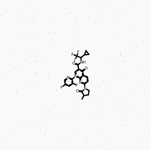 CC1CCN(c2ccc3c(=O)c(C(=O)NC(C4CC4)C(F)(F)F)cn(-c4ncc(F)cc4F)c3n2)C1=O